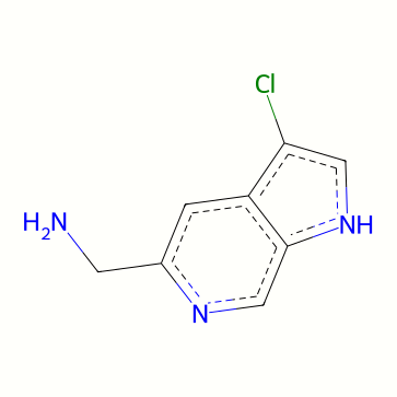 NCc1cc2c(Cl)c[nH]c2cn1